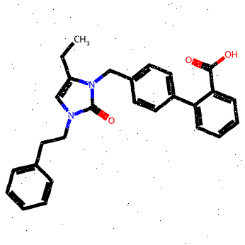 CCc1cn(CCc2ccccc2)c(=O)n1Cc1ccc(-c2ccccc2C(=O)O)cc1